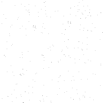 CC1CN(c2ccc(-c3cnc4c(-c5ccc(C#N)cc5)cccc4c3C#N)cc2)CC(C)O1